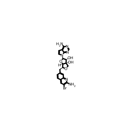 Nc1nc2cc(C[C@@H]3OC[C@@]4(O)[C@@H]3O[C@@H](n3ccc5c(N)ncnc53)[C@@H]4O)ccc2cc1Br